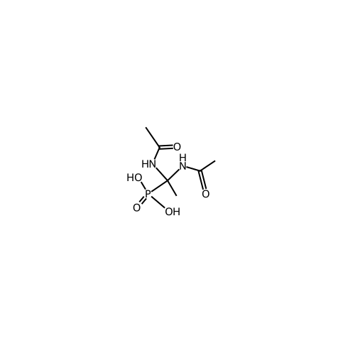 CC(=O)NC(C)(NC(C)=O)P(=O)(O)O